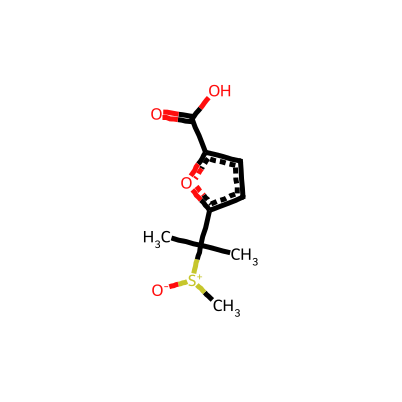 C[S+]([O-])C(C)(C)c1ccc(C(=O)O)o1